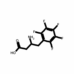 NC(CC(=O)O)Cc1c(F)c(F)c(F)c(F)c1F